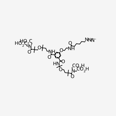 CC(C)(CCNC(=O)c1cc(OCCNC(=O)CCCCCN=[N+]=[N-])cc(C(=O)NC(C)(C)OCCC(C)(C)C(=O)N(CC(=O)O)CC(=O)O)c1)OCC(C)(C)C(=O)N(CC(=O)O)CC(=O)O